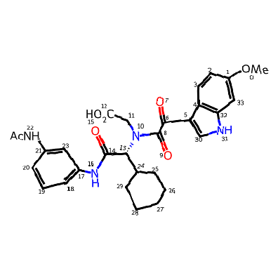 COc1ccc2c(C(=O)C(=O)N(CC(=O)O)[C@@H](C(=O)Nc3cccc(NC(C)=O)c3)C3CCCCC3)c[nH]c2c1